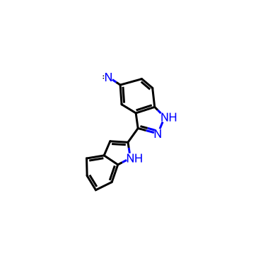 [N]c1ccc2[nH]nc(-c3cc4ccccc4[nH]3)c2c1